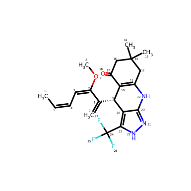 C=C(/C(=C\C=C/C)OC)[C@@H]1C2=C(CC(C)(C)CC2=O)Nc2n[nH]c(C(F)(F)F)c21